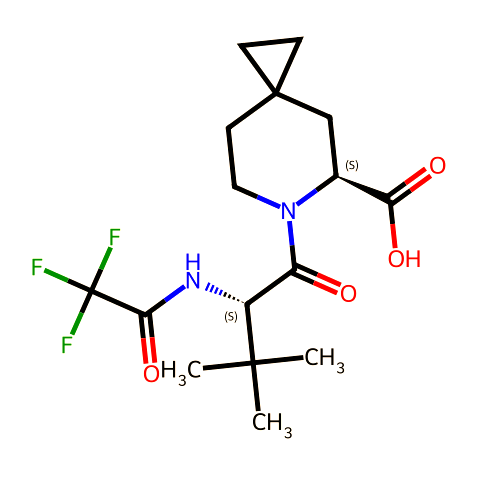 CC(C)(C)[C@H](NC(=O)C(F)(F)F)C(=O)N1CCC2(CC2)C[C@H]1C(=O)O